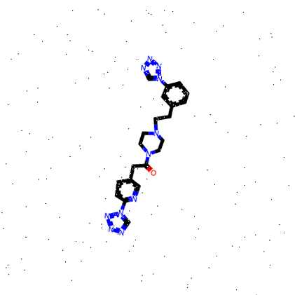 O=C(Cc1ccc(-n2cnnn2)nc1)N1CCN(CCc2cccc(-n3cnnn3)c2)CC1